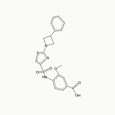 COc1cc(C(=O)O)ccc1NS(=O)(=O)c1csc(N2CC(c3ccccc3)C2)n1